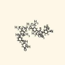 CC(C)c1cc(N2C(=S)N(c3ccc(C#N)c(C(F)(F)F)c3)C(=O)C2(C)C)ccc1OCCN1C[C@@H](C)N(CC(=O)Nc2cccc(NC3CCC(=O)NC3)c2)[C@@H](C)C1